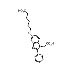 O=C(O)CCCCCOc1ccc2c(c1)nc(-c1ccccc1)n2CC(=O)O